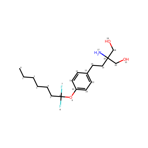 CCCCCCC(F)(F)Oc1ccc(CCC(N)(CO)CO)cc1